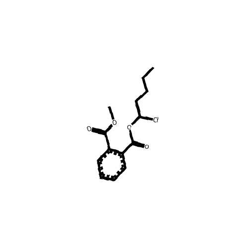 CCCCC(Cl)OC(=O)c1ccccc1C(=O)OC